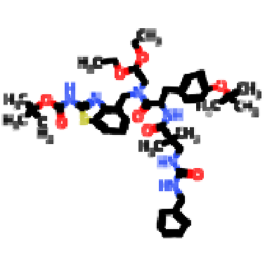 CCOC(CN(Cc1cccc2sc(NC(=O)OC(C)(C)C)nc12)C(=O)C(Cc1ccc(OC(C)(C)C)cc1)NC(=O)C(C)(C)CNC(=O)NCc1ccccc1)OCC